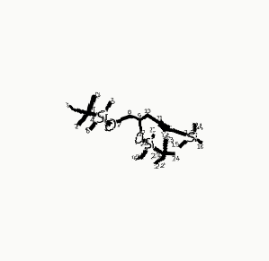 CC(C)(C)[Si](C)(C)OCC(CC#C[Si](C)(C)C)O[Si](C)(C)C(C)(C)C